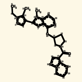 CCn1ncc(-c2nc3c(OC4CCN(C(=O)c5cnn6cccnc56)C4)ncnc3n2C)c1C